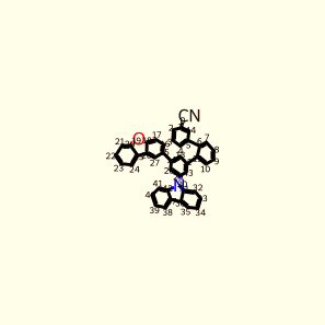 N#Cc1cccc(-c2ccccc2-c2cc(-c3ccc4oc5ccccc5c4c3)cc(-n3c4ccccc4c4ccccc43)c2)c1